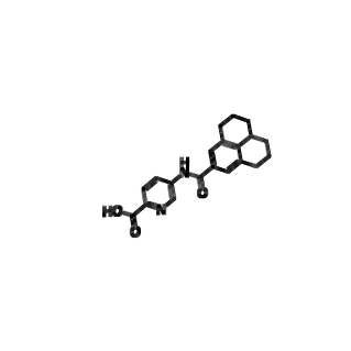 O=C(Nc1ccc(C(=O)O)nc1)c1cc2c3c(c1)CCCC3CCC2